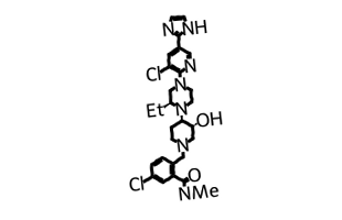 CC[C@H]1CN(c2ncc(-c3ncc[nH]3)cc2Cl)CCN1[C@@H]1CCN(Cc2ccc(Cl)cc2C(=O)NC)C[C@H]1O